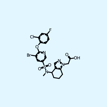 CN(C1CCCc2c1cnn2CC(=O)O)S(=O)(=O)c1cnc(Oc2ccc(F)cc2Cl)c(Br)c1